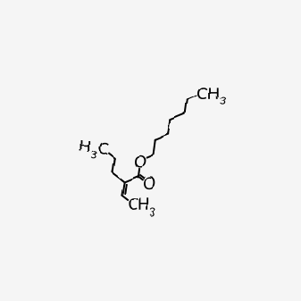 CC=C(CCC)C(=O)OCCCCCCC